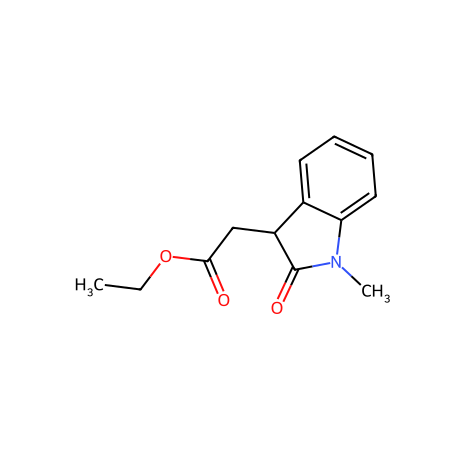 CCOC(=O)CC1C(=O)N(C)c2ccccc21